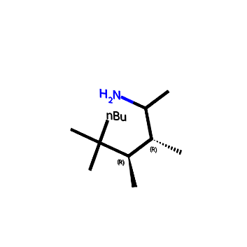 CCCCC(C)(C)[C@H](C)[C@@H](C)C(C)N